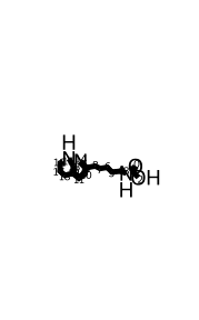 O=C(O)NCCCCCc1ccc2c(n1)NCCC2